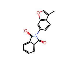 Cc1coc2cc(N3C(=O)c4ccccc4C3=O)ccc12